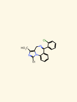 CCc1nc(C(=O)O)c2n1-c1ccccc1C(c1ccccc1Cl)=NC2